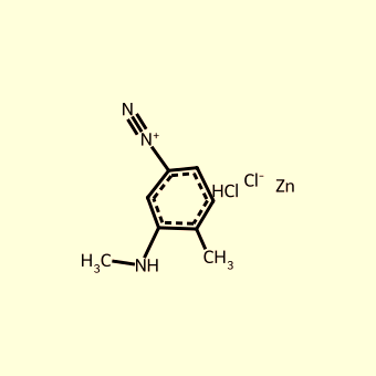 CNc1cc([N+]#N)ccc1C.Cl.[Cl-].[Zn]